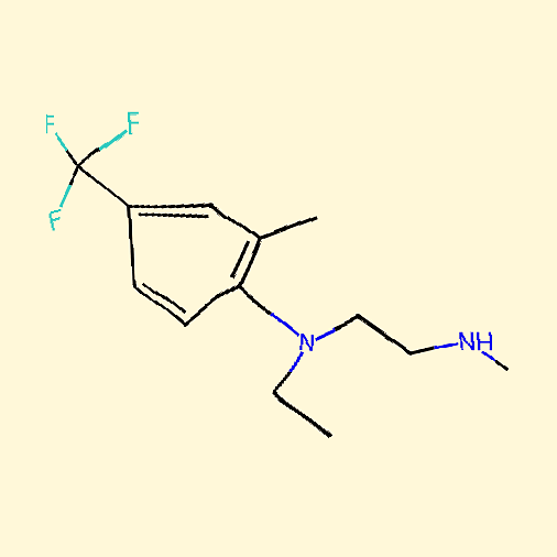 CCN(CCNC)c1ccc(C(F)(F)F)cc1C